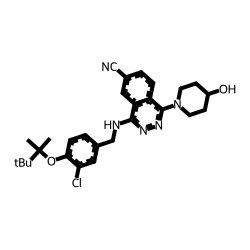 CC(C)(C)C(C)(C)Oc1ccc(CNc2nnc(N3CCC(O)CC3)c3ccc(C#N)cc23)cc1Cl